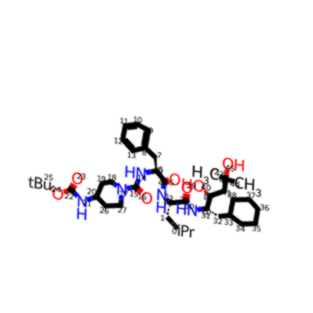 CC(C)C[C@H](NC(=O)[C@H](Cc1ccccc1)NC(=O)N1CCC(NC(=O)OC(C)(C)C)CC1)C(=O)N[C@@H](CC1CCCCC1)[C@@H](O)CC(C)(C)O